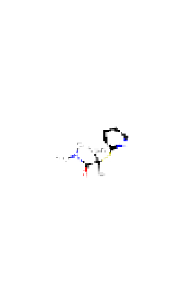 CCC(OC)(Sc1ccccn1)C(=O)N(C)C